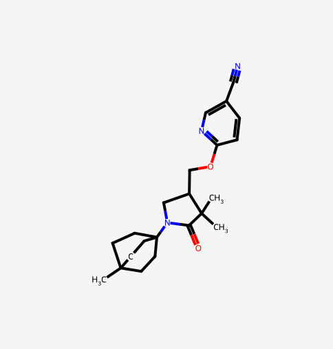 CC12CCC(N3CC(COc4ccc(C#N)cn4)C(C)(C)C3=O)(CC1)CC2